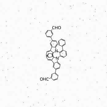 O=Cc1cccc(-c2ccc3c(c2)c2ccccc2n3-c2cccc(-c3ccccc3)c2-n2c3ccccc3c3cc(-c4cccc(C=O)c4)ccc32)c1